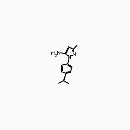 Cc1cc(N)n(-c2ccc(C(C)C)cc2)n1